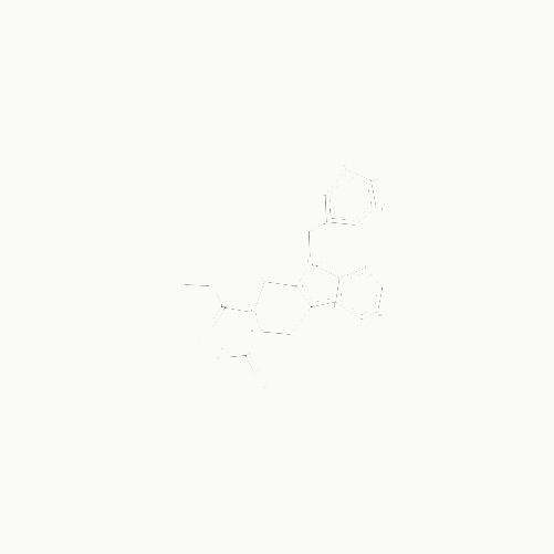 CSC(=S)N1Cc2c(c3ccccc3n2Cc2ccccc2)C[C@@H]1C(=O)O